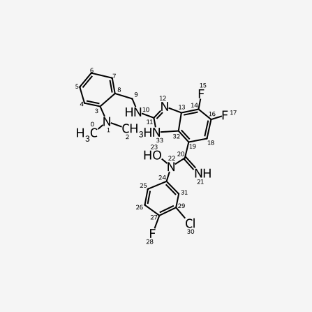 CN(C)c1ccccc1CNc1nc2c(F)c(F)cc(C(=N)N(O)c3ccc(F)c(Cl)c3)c2[nH]1